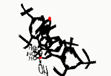 Cc1cc(C(C)(C)C)cc(C(C)(C)C)c1C(C[PH](O)(O)O[PH](O)(O)C(c1c(C)cc(C(C)(C)C)cc1C(C)(C)C)c1c(C)cc(C(C)(C)C)cc1C(C)(C)C)c1c(C)cc(C(C)(C)C)cc1C(C)(C)C